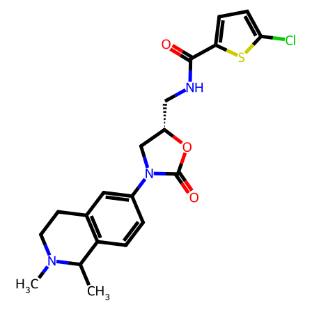 CC1c2ccc(N3C[C@H](CNC(=O)c4ccc(Cl)s4)OC3=O)cc2CCN1C